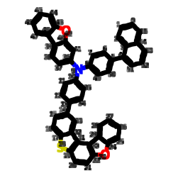 c1ccc2c(-c3ccc(N(c4ccc(-c5ccc6sc7ccc8oc9ccccc9c8c7c6c5)cc4)c4ccc5c(c4)oc4ccccc45)cc3)cccc2c1